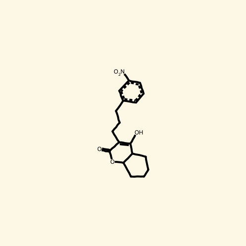 O=C1OC2CCCCC2C(O)=C1CCCc1cccc([N+](=O)[O-])c1